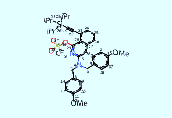 COc1ccc(CN(Cc2ccc(OC)cc2)c2cc3cccc(C#C[Si](C(C)C)(C(C)C)C(C)C)c3c(OS(=O)(=O)C(F)(F)F)n2)cc1